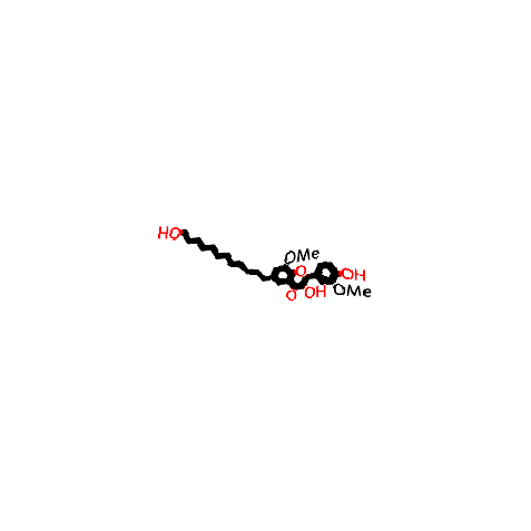 COc1cc(-c2oc3c(OC)cc(CCCCCCCCCCCCO)cc3c(=O)c2O)ccc1O